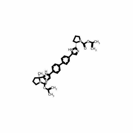 C=C(C)OC(=O)N1CCC[C@H]1c1ncc(-c2ccc(-c3ccc(-c4cnc([C@]5(C)CCCN5C(=O)OC(=C)C)[nH]4)cc3)cc2)[nH]1